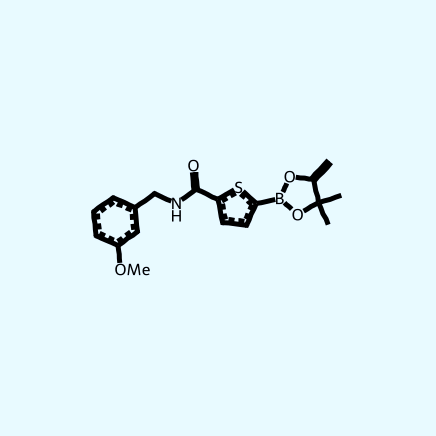 C=C1OB(c2ccc(C(=O)NCc3cccc(OC)c3)s2)OC1(C)C